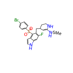 CSNC1=CC(Cc2c(F)cc3[nH]ccc3c2S(=O)(=O)c2ccc(Br)cc2)CCN1